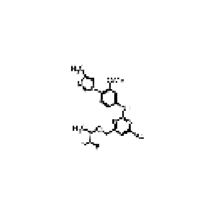 COc1cc(Nc2nc(COC(C)C(F)F)cc(C(C)=O)n2)ccc1-n1cnc(C)c1